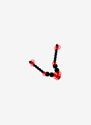 C=CC(=O)OCCCCCCCCCCCOc1ccc(-c2ccc(C(=O)O[C@@H]3OCCO[C@H]3OC(=O)c3ccc(-c4ccc(OCCCCCCCCCCCOC(=O)C=C)cc4)cc3)cc2)cc1